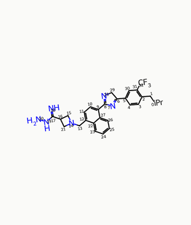 CC(C)Cc1ccc(C2=NC(c3ccc(CN4CC(C(=N)NN)C4)c4ccccc34)=NC2)cc1C(F)(F)F